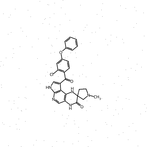 CN1CCC2(C1)Nc1c(cnc3[nH]cc(C(=O)c4ccc(Oc5ccccc5)cc4Cl)c13)NC2=O